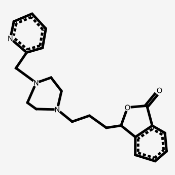 O=C1OC(CCCN2CCN(Cc3ccccn3)CC2)c2ccccc21